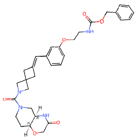 O=C1CO[C@H]2CCN(C(=O)N3CC4(CC(=Cc5cccc(OCCNC(=O)OCc6ccccc6)c5)C4)C3)C[C@H]2N1